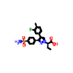 CCC(C(=O)O)n1cc(-c2ccc(C)c(F)c2)c(-c2ccc(S(N)(=O)=O)cc2)n1